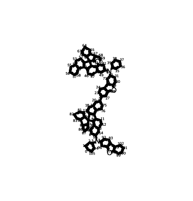 c1ccc(N(c2ccc3c4c(ccc3c2)-c2c(ccc3cc(-c5ccc6c(c5)oc5ccc(N(c7ccccc7)c7ccc8c9c(ccc8c7)-c7c(ccc8ccccc78)C97c8ccccc8-c8ccccc87)cc56)ccc23)C42c3ccccc3-c3ccccc32)c2ccc3c(c2)oc2ccccc23)cc1